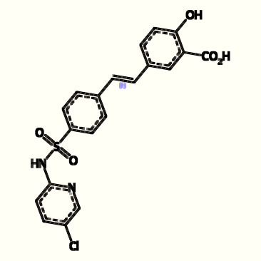 O=C(O)c1cc(/C=C/c2ccc(S(=O)(=O)Nc3ccc(Cl)cn3)cc2)ccc1O